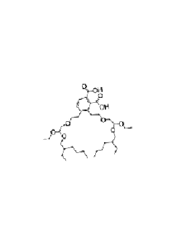 CCCCC(CC)COC(COCCc1ccc(C(=O)O)c(C(=O)O)c1CCOCC(OCC)OCC(CC)CCCC)OCC